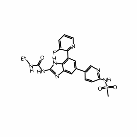 CCNC(=O)Nc1nc2cc(-c3ccc(NS(C)(=O)=O)nc3)cc(-c3ncccc3F)c2[nH]1